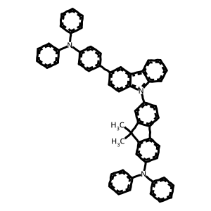 CC1(C)c2cc(N(c3ccccc3)c3ccccc3)ccc2-c2ccc(-n3c4ccccc4c4cc(-c5ccc(N(c6ccccc6)c6ccccc6)cc5)ccc43)cc21